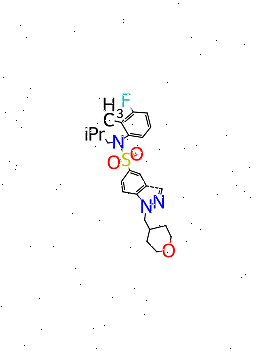 Cc1c(F)cccc1N(CC(C)C)S(=O)(=O)c1ccc2c(cnn2CC2CCOCC2)c1